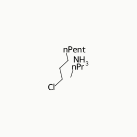 CCCC.CCCCCCCCCl.N